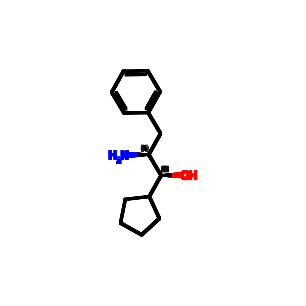 N[C@@H](Cc1ccccc1)[C@@H](O)C1CCCC1